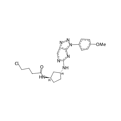 COc1ccc(-n2nnc3cnc(N[C@@H]4CC[C@@H](NC(=O)CCCCl)C4)nc32)cc1